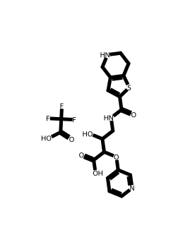 O=C(NCC(O)C(Oc1cccnc1)C(=O)O)c1cc2c(s1)CCNC2.O=C(O)C(F)(F)F